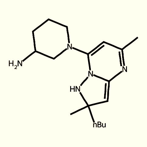 CCCCC1(C)C=C2N=C(C)C=C(N3CCCC(N)C3)N2N1